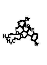 C=CCOCC(C(=NO)C(COCC=C)c1cc(Br)ccc1F)c1cc(Br)ccc1F